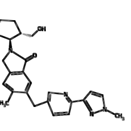 Cc1cc2c(cc1Cc1ccc(-c3ccn(C)n3)nc1)C(=O)N([C@H]1CCC[C@@H]1CO)C2